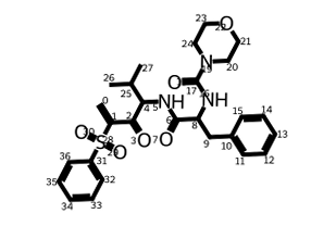 C=C(C(=O)C(NC(=O)C(Cc1ccccc1)NC(=O)N1CCOCC1)C(C)C)S(=O)(=O)c1ccccc1